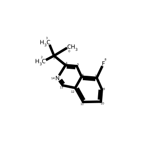 CC(C)(C)c1cc2c(F)cccc2cn1